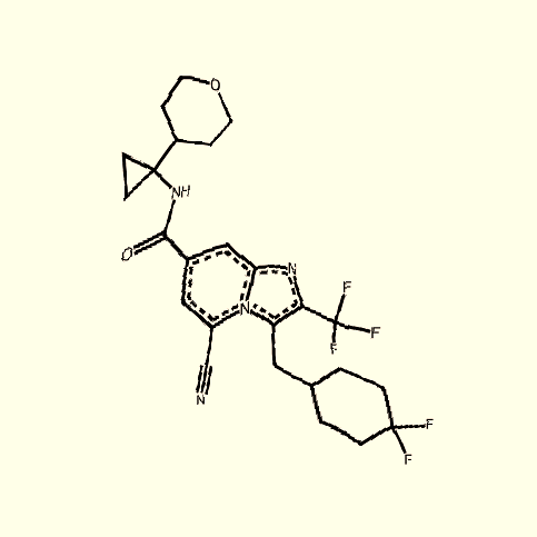 N#Cc1cc(C(=O)NC2(C3CCOCC3)CC2)cc2nc(C(F)(F)F)c(CC3CCC(F)(F)CC3)n12